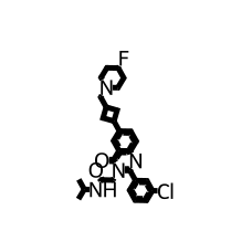 CC(C)NC(=O)Cn1c(-c2cccc(Cl)c2)nc2ccc(C3CC(CN4CCC(F)CC4)C3)cc2c1=O